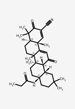 CCC(=O)N[C@]12CCC(C)(C)C[C@H]1[C@H]1C(=O)C=C3[C@@]4(C)C=C(C#N)C(=O)C(C)(C)[C@@H]4CC[C@@]3(C)[C@]1(C)CC2